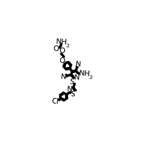 N#Cc1c(N)nc(SCc2csc(-c3ccc(Cl)cc3)n2)c(C#N)c1-c1ccc(OCCOC(=O)CN)cc1